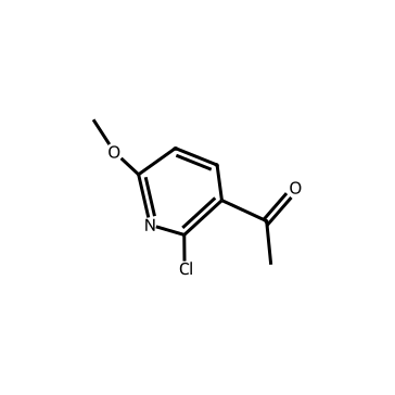 COc1ccc(C(C)=O)c(Cl)n1